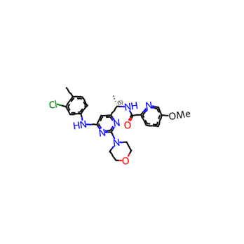 COc1ccc(C(=O)N[C@@H](C)c2cc(Nc3ccc(C)c(Cl)c3)nc(N3CCOCC3)n2)nc1